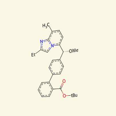 CCc1cn2c([C@H](OC)c3ccc(-c4ccccc4C(=O)OC(C)(C)C)cc3)ccc(C)c2n1